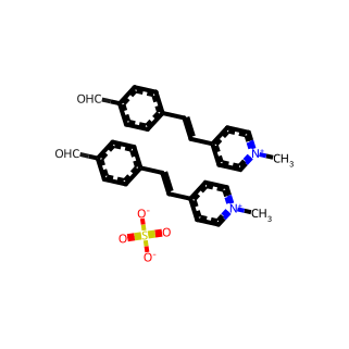 C[n+]1ccc(C=Cc2ccc(C=O)cc2)cc1.C[n+]1ccc(C=Cc2ccc(C=O)cc2)cc1.O=S(=O)([O-])[O-]